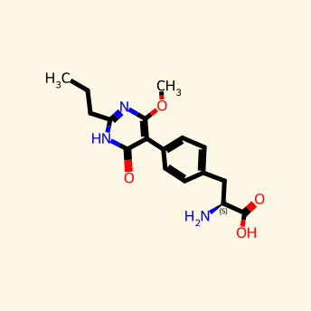 CCCc1nc(OC)c(-c2ccc(C[C@H](N)C(=O)O)cc2)c(=O)[nH]1